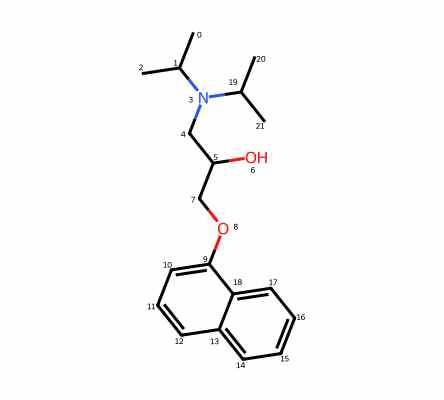 CC(C)N(CC(O)COc1cccc2ccccc12)C(C)C